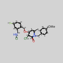 COc1ccc(Cn2c(C)cc(OCc3ccc(F)cc3CNCl)c(Cl)c2=O)cc1